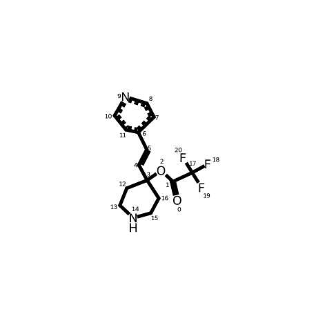 O=C(OC1(C=Cc2ccncc2)CCNCC1)C(F)(F)F